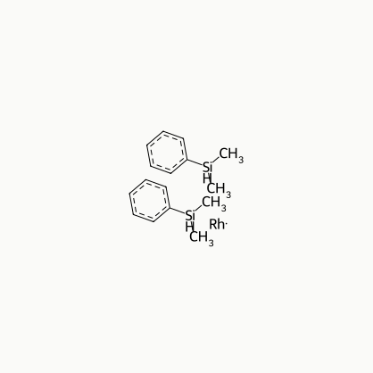 C[SiH](C)c1ccccc1.C[SiH](C)c1ccccc1.[Rh]